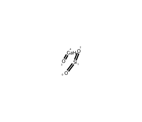 O=[Si]=O.[O]=[GaH]